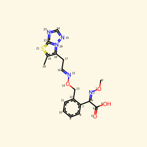 CON=C(C(=O)O)c1ccccc1CON=CCc1c(C)sc2ncnn12